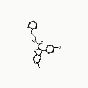 Cc1ccc2oc(C(=O)NCCc3ccccc3)c(-c3ccc(Cl)cc3)c2c1